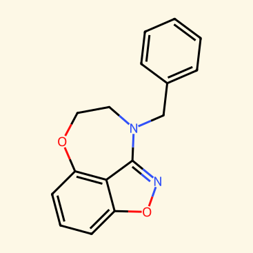 c1ccc(CN2CCOc3cccc4onc2c34)cc1